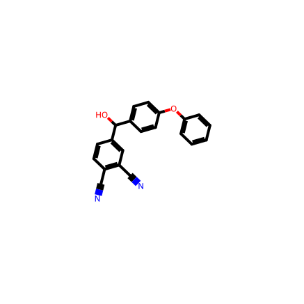 N#Cc1ccc(C(O)c2ccc(Oc3ccccc3)cc2)cc1C#N